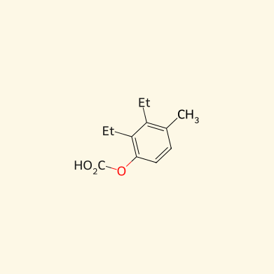 CCc1c(C)ccc(OC(=O)O)c1CC